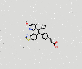 COc1cc(C)c(C(=C(c2ccc(C=CC(=O)O)cc2)c2ccc3scnc3c2)C2CCC2)cn1